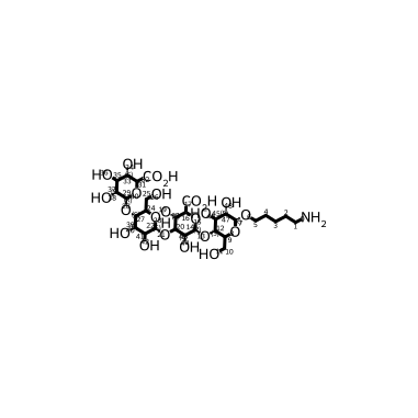 NCCCCCO[C@@H]1OC(CO)[C@@H](O[C@@H]2OC(C(=O)O)[C@@H](O)C(O[C@@H]3OC(CO)[C@@H](O[C@@H]4OC(C(=O)O)[C@@H](O)C(O)[C@@H]4O)[C@H](O)C3O)[C@@H]2O)C(O)[C@@H]1O